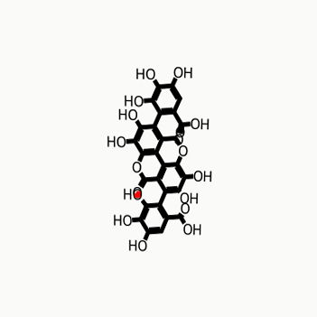 O=C(O)c1cc(O)c(O)c(O)c1-c1c(O)c(O)c2oc(=O)c3c(-c4c(C(=O)O)cc(O)c(O)c4O)c(O)c(O)c4oc(=O)c1c2c43